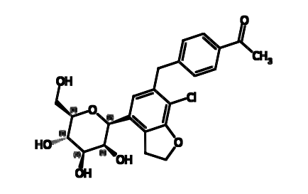 CC(=O)c1ccc(Cc2cc([C@@H]3O[C@H](CO)[C@@H](O)[C@H](O)[C@@H]3O)c3c(c2Cl)OCC3)cc1